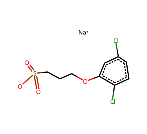 O=S(=O)([O-])CCCOc1cc(Cl)ccc1Cl.[Na+]